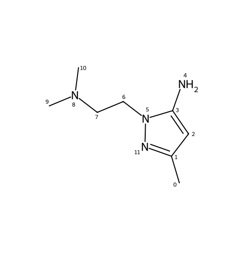 Cc1cc(N)n(CCN(C)C)n1